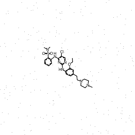 CCOc1cc(CCN2CCN(C)CC2)ccc1Nc1ncc(Cl)c(Nc2ccccc2S(=O)(=O)N(C)C)n1